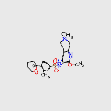 COc1nc2c(cc1NS(=O)(=O)c1ccc([C@@H]3CCCCO3)c(C)c1)CCN(C)CC2